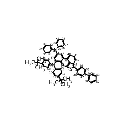 CC(C)(C)c1ccc(N2c3ccc(C(C)(C)C)cc3B3c4c(cc(N(c5ccccc5)c5ccccc5)cc42)-c2cccc4c(-c5ccc(-c6ccccc6)cc5)sc3c24)cc1